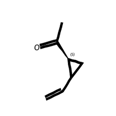 C=CC1C[C@@H]1C(C)=O